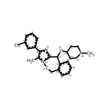 Cc1c(-c2cccc(Cl)c2)nc2n1CCc1ccccc1C2OC1CCN(C)CC1